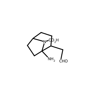 NC12CCC(CCC1CC=O)N2C(=O)O